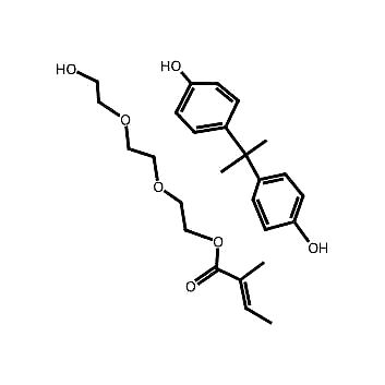 C/C=C(\C)C(=O)OCCOCCOCCO.CC(C)(c1ccc(O)cc1)c1ccc(O)cc1